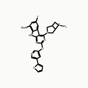 CNc1cc(F)cc2c1[nH]c1nc(Oc3cncc(-c4ccco4)c3)nc(N3CC4C[C@@H](N)C4C3)c12